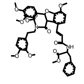 COC(=O)C(Cc1ccccc1)NC(=O)/C=C/c1ccc(OC)c2c1C(C(=O)N(CCc1ccc(OC)c(OC)c1)C(=O)OC)C(c1ccc(OC)c(OC)c1)O2